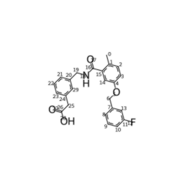 Cc1ccc(OCc2cccc(F)c2)cc1C(=O)NCc1cccc(CC(=O)O)c1